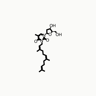 CC(C)=CCCC(C)=CCCC(C)=CCn1c(=O)c(C)cn([C@H]2C[C@@H](O)[C@@H](CO)O2)c1=O